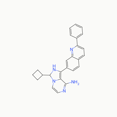 NC1=NC=CN2C1=C(c1ccc3ccc(-c4ccccc4)nc3c1)NC2C1CCC1